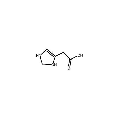 O=C(O)CC1=CNCN1